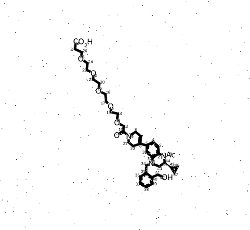 CC(=O)N1c2ccc(C3=CCN(C(=O)COCCOCCOCCOCCOCCC(=O)O)CC3)cc2N(Cc2ccccc2CO)C[C@@H]1C1CC1